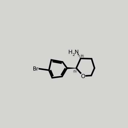 N[C@@H]1CCCO[C@H]1c1ccc(Br)cc1